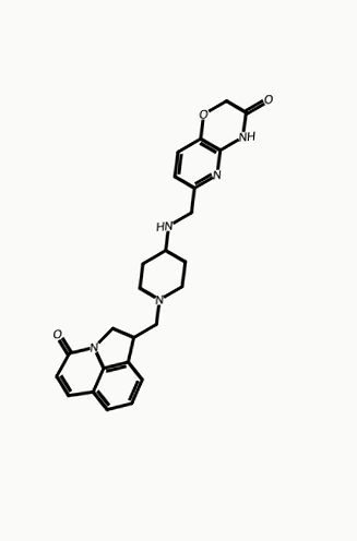 O=C1COc2ccc(CNC3CCN(CC4Cn5c(=O)ccc6cccc4c65)CC3)nc2N1